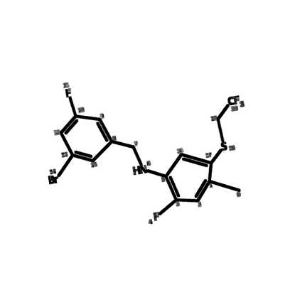 Cc1cc(F)c(NCc2cc(F)cc(Br)c2)cc1SCC(F)(F)F